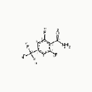 NC(=O)c1c(F)cc(C(F)(F)F)cc1F